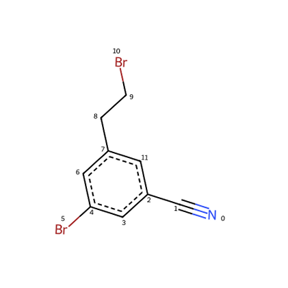 N#Cc1cc(Br)cc(CCBr)c1